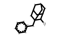 ClC1C2CC3CC(C2)CC1(Cc1[c]cccc1)C3